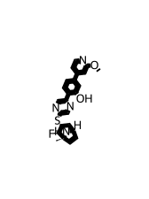 COc1cc(-c2ccc(-c3cnc(S[C@@H]4C[C@H]5C=C[C@](C)(N5)[C@@H]4F)cn3)c(O)c2)ccn1